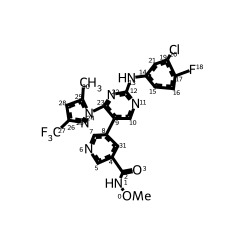 CONC(=O)c1cncc(-c2cnc(Nc3ccc(F)c(Cl)c3)nc2-n2nc(C(F)(F)F)cc2C)c1